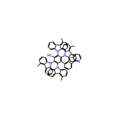 Cc1cccc2c1c1ccccc1n2-c1c(C#N)c(-n2c3ccccc3c3c(C)cccc32)c(-n2c3ccccc3c3c(C)cccc32)c(-c2cccc3c2sc2cccnc23)c1-n1c2ccccc2c2c(C)cccc21